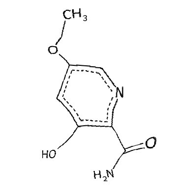 COc1cnc(C(N)=O)c(O)c1